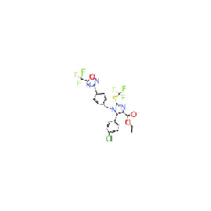 CCOC(=O)c1nc(SC(F)(F)F)n(Cc2ccc(-c3noc(C(F)(F)F)n3)cc2)c1-c1ccc(Cl)cc1